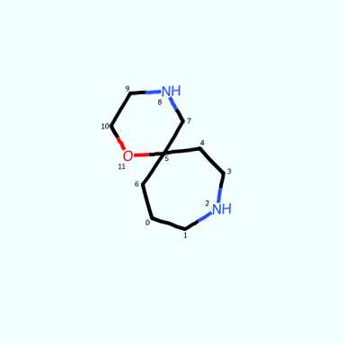 C1CNCCC2(C1)CNCCO2